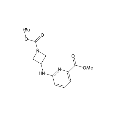 COC(=O)c1cccc(NC2CN(C(=O)OC(C)(C)C)C2)n1